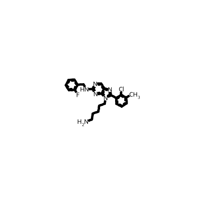 Cc1cccc(-c2nc3cnc(NCc4ccccc4F)nc3n2CCCCCN)c1Cl